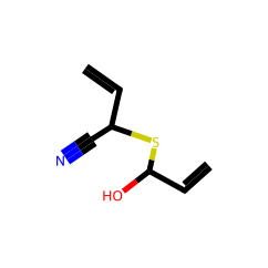 C=CC(O)SC(C#N)C=C